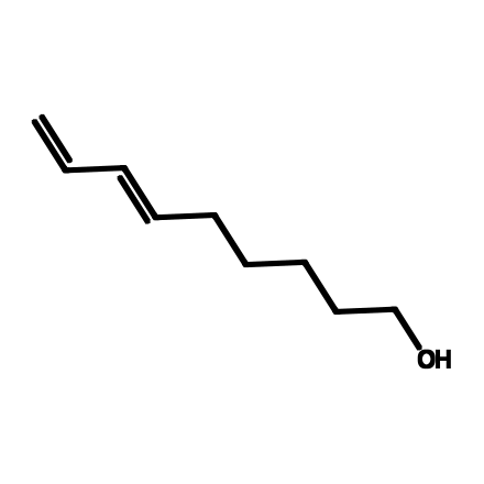 C=C/C=C/CCCCCO